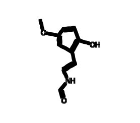 COc1ccc(O)c(C=CNC=O)c1